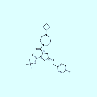 CC(C)(C)OC(=O)N1C[C@H](OCc2ccc(F)cc2)C[C@@H]1C(=O)N1CCCN(C2CCC2)CC1